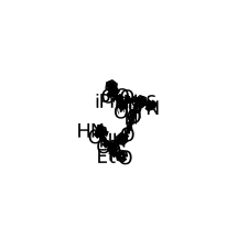 CCN(c1cc(-c2ccc(OCCCCCOCCOc3cc(-c4scnc4C)ccc3CNC(=O)C3C[C@@H](O)CN3C(=O)[C@H](C(C)C)C3Cc4ccccc4C3=O)cc2)cc(C(=O)NCc2c(C)cc(C)[nH]c2=O)c1C)C1CCOCC1